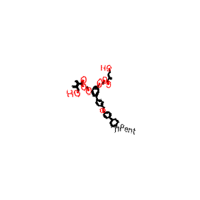 C=C(CO)C(=C)C(=O)OCOc1cc(OCOC(=O)C(=C)CCO)cc(-c2ccc(COc3ccc(C4CCC(CCCCC)CC4)cc3)cc2)c1